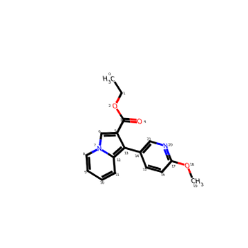 CCOC(=O)c1cn2ccccc2c1-c1ccc(OC)nc1